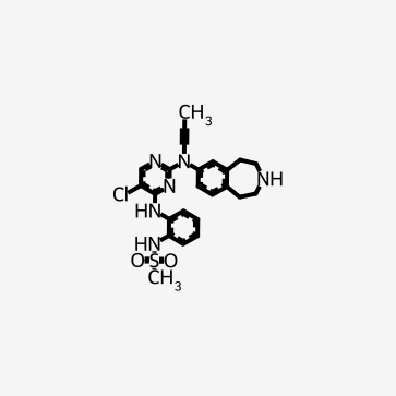 CC#CN(c1ccc2c(c1)CCNCC2)c1ncc(Cl)c(Nc2ccccc2NS(C)(=O)=O)n1